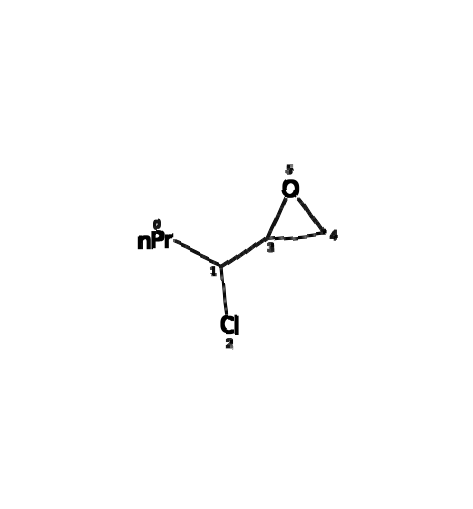 CCCC(Cl)C1CO1